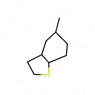 CC1CCC2SCCC2C1